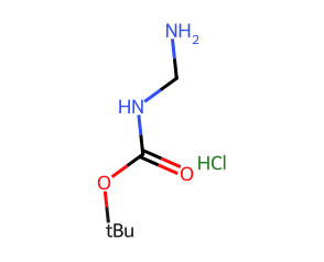 CC(C)(C)OC(=O)NCN.Cl